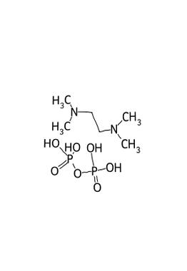 CN(C)CCN(C)C.O=P(O)(O)OP(=O)(O)O